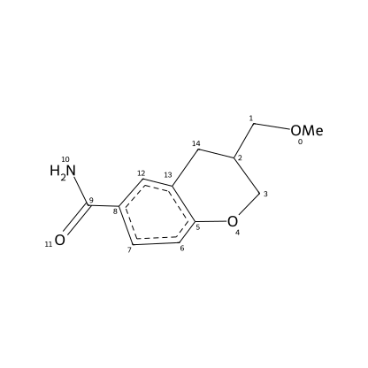 COCC1COc2ccc(C(N)=O)cc2C1